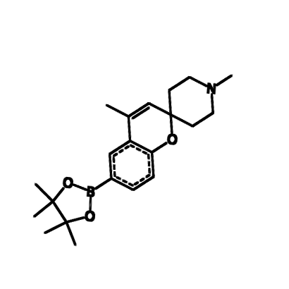 CC1=CC2(CCN(C)CC2)Oc2ccc(B3OC(C)(C)C(C)(C)O3)cc21